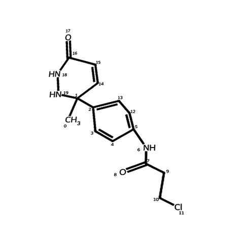 CC1(c2ccc(NC(=O)CCCl)cc2)C=CC(=O)NN1